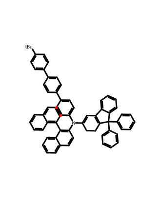 CC(C)(C)c1ccc(-c2ccc(-c3ccc(N(C4=CC5=C(CC4)C(c4ccccc4)(c4ccccc4)c4ccccc45)c4ccc5ccccc5c4-c4c#ccc5ccccc45)cc3)cc2)cc1